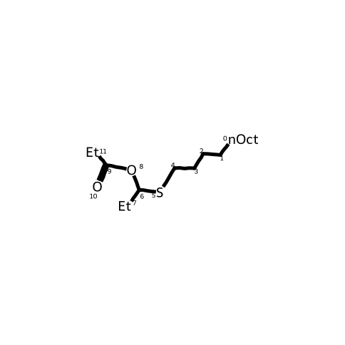 CCCCCCCCCCCCSC(CC)OC(=O)CC